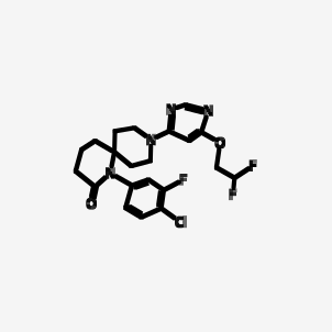 O=C1CCCC2(CCN(c3cc(OCC(F)F)ncn3)CC2)N1c1ccc(Cl)c(F)c1